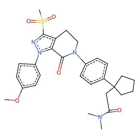 COc1ccc(-n2nc(S(C)(=O)=O)c3c2C(=O)N(c2ccc(C4(CC(=O)N(C)C)CCCC4)cc2)CC3)cc1